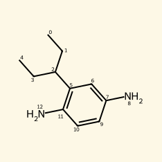 CCC(CC)c1cc(N)ccc1N